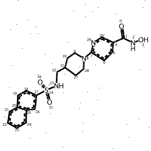 O=C(NO)c1ccc(N2CCC(CNS(=O)(=O)c3ccc4ccccc4c3)CC2)nc1